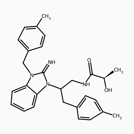 Cc1ccc(CC(CNC(=O)[C@@H](C)O)n2c(=N)n(Cc3ccc(C)cc3)c3ccccc32)cc1